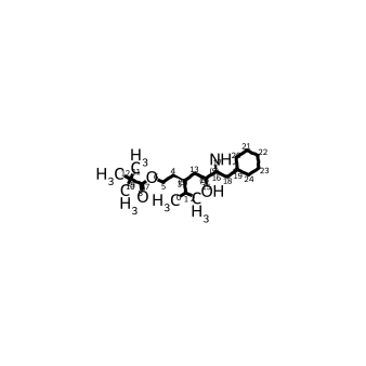 CC(C)[C@@H](CCOC(=O)C(C)(C)C)C[C@H](O)[C@@H](N)CC1CCCCC1